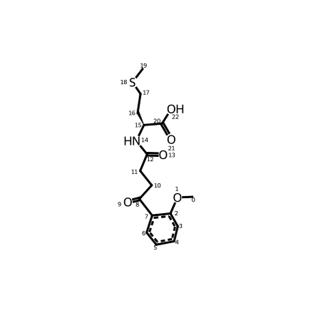 COc1ccccc1C(=O)CCC(=O)N[C@@H](CCSC)C(=O)O